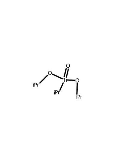 CC(C)[O][Ti](=[O])([O]C(C)C)[CH](C)C